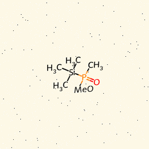 COP(C)(=O)[Si](C)(C)C